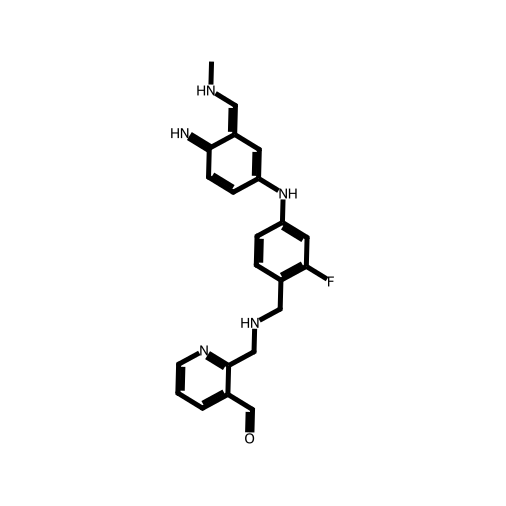 CN/C=C1/C=C(Nc2ccc(CNCc3ncccc3C=O)c(F)c2)C=CC1=N